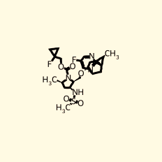 C[C@@H]1C[C@H](NS(C)(=O)=O)[C@H](CO[C@H]2CC[C@]3(c4ncc(F)cn4)C(C2)[C@@H]3C)N1C(=O)OCC1(F)CC1